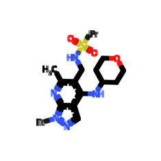 CCn1ncc2c(NC3CCOCC3)c(CNS(=O)(=O)C(C)C)c(C)nc21